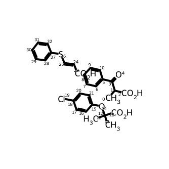 CC(C(=O)O)C(=O)c1ccccc1.CC(C)(Oc1ccc(Cl)cc1)C(=O)O.O=C(O)C=CSc1ccccc1